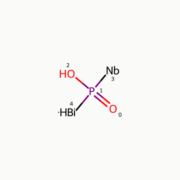 O=[P](O)([Nb])[BiH]